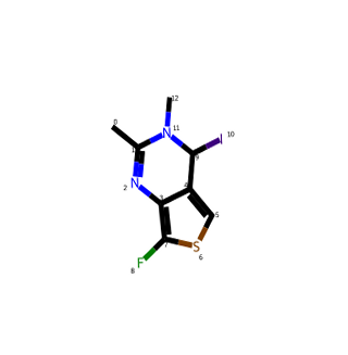 CC1=Nc2c(csc2F)C(I)N1C